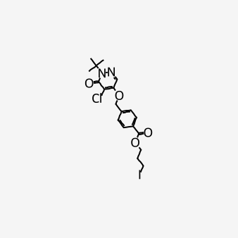 CC(C)(C)n1ncc(OCc2ccc(C(=O)OCCCI)cc2)c(Cl)c1=O